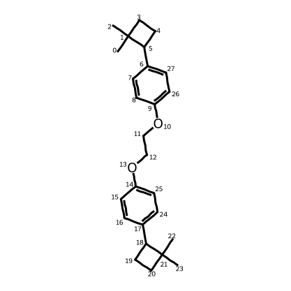 CC1(C)CCC1c1ccc(OCCOc2ccc(C3CCC3(C)C)cc2)cc1